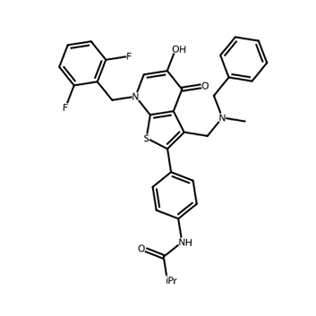 CC(C)C(=O)Nc1ccc(-c2sc3c(c2CN(C)Cc2ccccc2)c(=O)c(O)cn3Cc2c(F)cccc2F)cc1